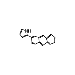 [c]1c(-c2ccc[nH]2)ccc2cc3ccccc3cc12